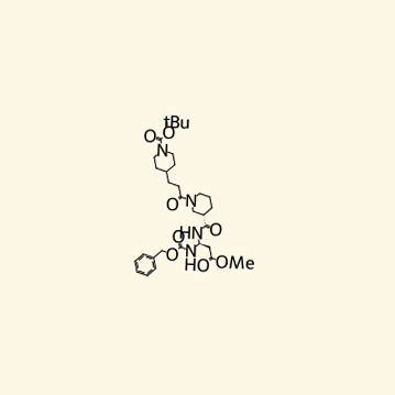 COC(=O)C[C@@H](NC(=O)OCc1ccccc1)NC(=O)[C@H]1CCCN(C(=O)CCC2CCN(C(=O)OC(C)(C)C)CC2)C1